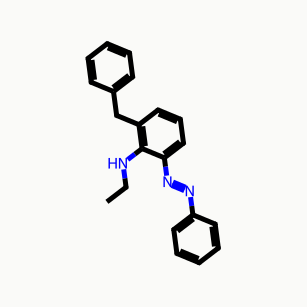 CCNc1c(Cc2ccccc2)cccc1N=Nc1ccccc1